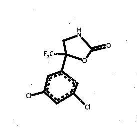 O=C1NCC(c2cc(Cl)cc(Cl)c2)(C(F)(F)F)O1